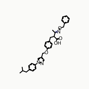 C/C(=N\OCc1ccccc1)C(Cc1ccc(OCc2cnn(-c3ccc(CC(C)C)cc3)c2)cc1)C(=O)O